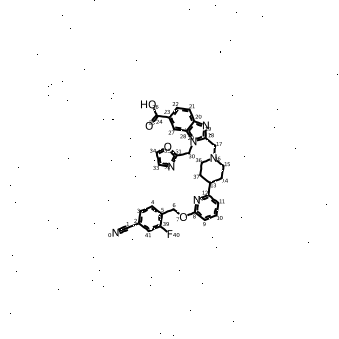 N#Cc1ccc(COc2cccc(C3CCN(Cc4nc5ccc(C(=O)O)cc5n4Cc4ncco4)CC3)n2)c(F)c1